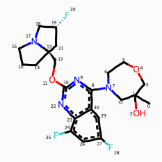 CC1(O)COCCN(c2nc(OC[C@@]34CCCN3C[C@H](F)C4)nc3c(F)cc(F)cc23)C1